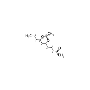 CCCC(CCCCCC(C)=O)OC(C)=O